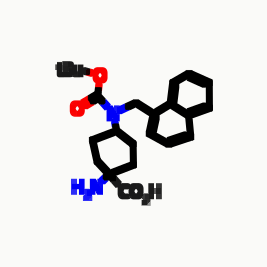 CC(C)(C)OC(=O)N(Cc1cccc2ccccc12)C1CCC(N)(C(=O)O)CC1